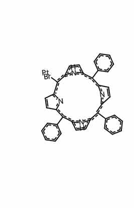 Brc1c2nc(c(-c3ccccc3)c3ccc([nH]3)c(-c3ccccc3)c3nc(c(-c4ccccc4)c4ccc1[nH]4)C=C3)C=C2.[Pt]